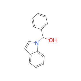 OC(c1ccccc1)n1ccc2ccccc21